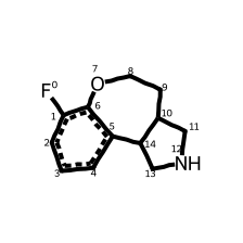 Fc1cccc2c1OCCC1CNCC21